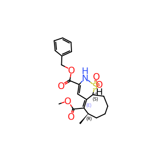 COC(=O)/C1=C2\C=C(C(=O)OCc3ccccc3)NS(=O)(=O)[C@H]2CCCC[C@H]1C